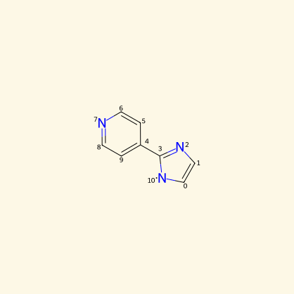 C1=CN=C(c2ccncc2)[N]1